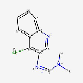 CN(C)/C=N\c1cnc2ccccc2c1Cl